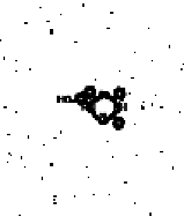 OCc1cccc(-c2cc3cc4nc(c(-c5ccccc5)c5ccc([nH]5)c(-c5ccccc5)c5nc(c(-c6ccccc6)c2[nH]3)C=C5)C=C4)c1